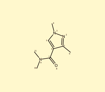 Cc1nn(C)cc1C(=O)N(C)C